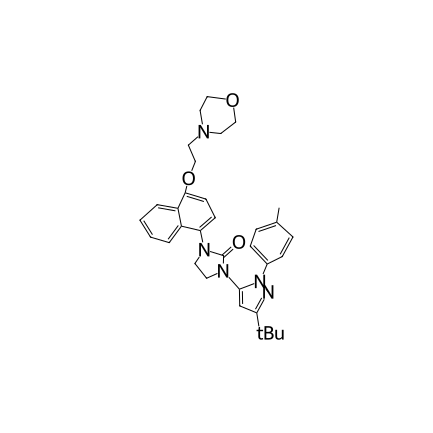 Cc1ccc(-n2nc(C(C)(C)C)cc2N2CCN(c3ccc(OCCN4CCOCC4)c4ccccc34)C2=O)cc1